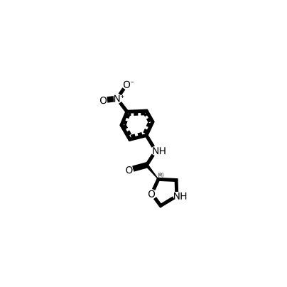 O=C(Nc1ccc([N+](=O)[O-])cc1)[C@H]1CNCO1